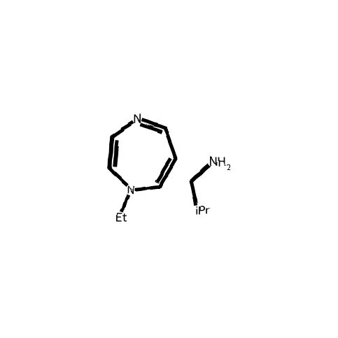 CC(C)CN.CCN1C=CC=NC=C1